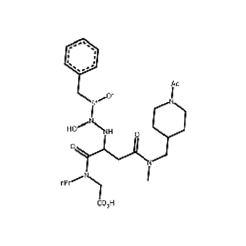 CCCN(CC(=O)O)C(=O)C(CC(=O)N(C)CC1CCN(C(C)=O)CC1)NN(O)[S+]([O-])Cc1ccccc1